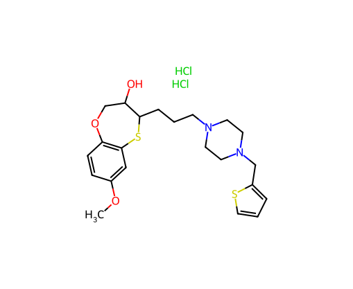 COc1ccc2c(c1)SC(CCCN1CCN(Cc3cccs3)CC1)C(O)CO2.Cl.Cl